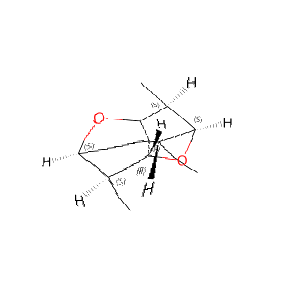 C[C@@H]1[C@@H]2OC3[C@@H](C)[C@H]1O[C@@H]3[C@H]2C